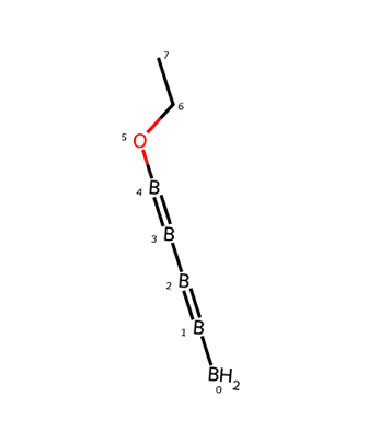 BB=BB=BOCC